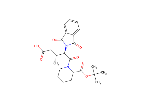 C[C@H](CC(=O)O)[C@H](C(=O)N1CCCC[C@H]1C(=O)OC(C)(C)C)N1C(=O)c2ccccc2C1=O